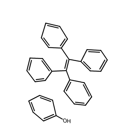 Oc1ccccc1.c1ccc(C(=C(c2ccccc2)c2ccccc2)c2ccccc2)cc1